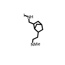 CNCCC1CC2CC(CNI)C1C2